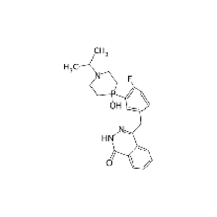 CC(C)N1CC[P](O)(c2cc(Cc3n[nH]c(=O)c4ccccc34)ccc2F)CC1